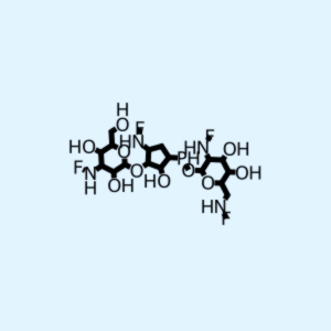 OCC1OC(OC2C(NF)CC(POC3OC(CNF)C(O)C(O)C3NF)C2O)C(O)C(NF)C1O